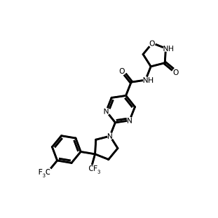 O=C(NC1CONC1=O)c1cnc(N2CCC(c3cccc(C(F)(F)F)c3)(C(F)(F)F)C2)nc1